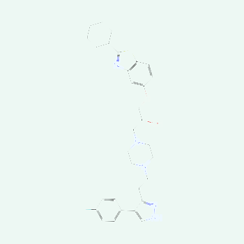 O[C@H](COc1ccc2sc(C3CCCCC3)nc2c1)CN1CCN(CCc2n[nH]cc2-c2ccc(F)cc2)CC1